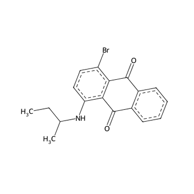 CCC(C)Nc1ccc(Br)c2c1C(=O)c1ccccc1C2=O